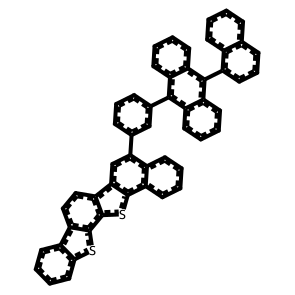 c1cc(-c2c3ccccc3c(-c3cccc4ccccc34)c3ccccc23)cc(-c2cc3c4ccc5c6ccccc6sc5c4sc3c3ccccc23)c1